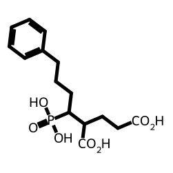 O=C(O)CCC(C(=O)O)C(CCCc1ccccc1)P(=O)(O)O